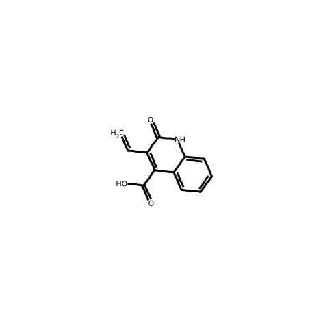 C=Cc1c(C(=O)O)c2ccccc2[nH]c1=O